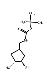 CC(C)(C)OC(=O)NC[C@@H]1C[C@@H](O)[C@H](S)C1